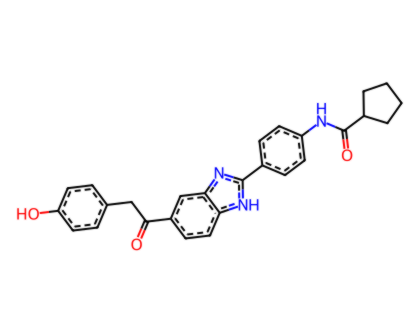 O=C(Cc1ccc(O)cc1)c1ccc2[nH]c(-c3ccc(NC(=O)C4CCCC4)cc3)nc2c1